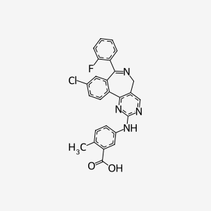 Cc1ccc(Nc2ncc3c(n2)-c2ccc(Cl)cc2C(c2ccccc2F)=NC3)cc1C(=O)O